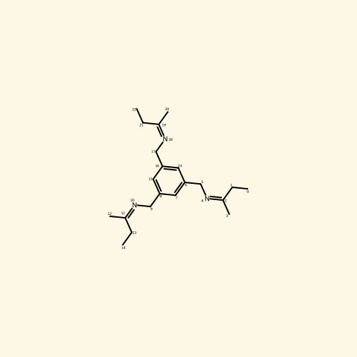 CCC(C)=NCc1cc(CN=C(C)CC)cc(CN=C(C)CC)c1